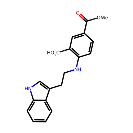 COC(=O)c1ccc(NCCc2c[nH]c3ccccc23)c(C(=O)O)c1